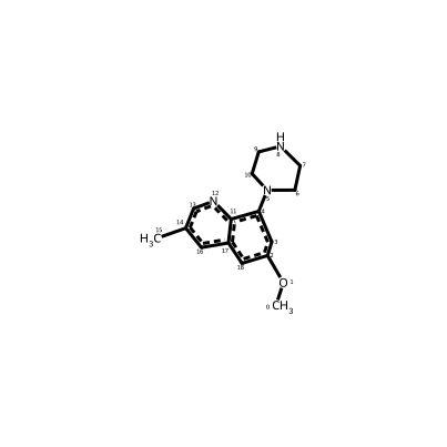 COc1cc(N2CCNCC2)c2ncc(C)cc2c1